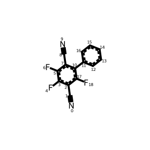 N#Cc1c(F)c(F)c(C#N)c(-c2ccccc2)c1F